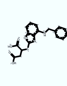 O=C(O)CC(Sc1nc2c(NCc3ccccc3)cccc2o1)C(=O)O